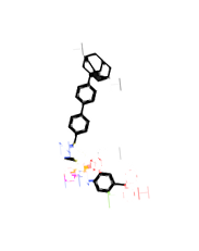 COc1cc(C(=O)O)c(F)cc1NS(=O)(=O)c1cnc(-c2ccc(-c3ccc(C45CC6C[C@H](C4)C[C@H](C6)C5)cc3)cc2)s1